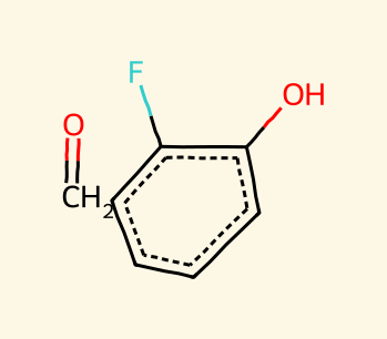 C=O.Oc1ccccc1F